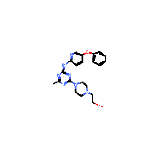 Cc1nc(Nc2ccc(Oc3ccccc3)cn2)nc(N2CCN(CCO)CC2)n1